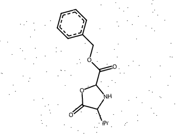 CC(C)C1NC(C(=O)OCc2ccccc2)OC1=O